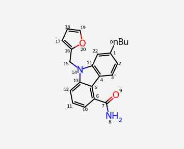 CCCCc1c[c]c2c3c(C(N)=O)cccc3n(Cc3ccco3)c2c1